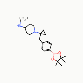 CC1(C)OB(c2ccc(CC3(N4CCC(NC(=O)O)CC4)CC3)cc2)OC1(C)C